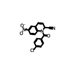 N#CC1C=Cc2cc([N+](=O)[O-])ccc2N1C(=O)c1ccc(Cl)cc1